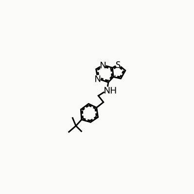 CC(C)(C)c1ccc(CCNc2ncnc3sccc23)cc1